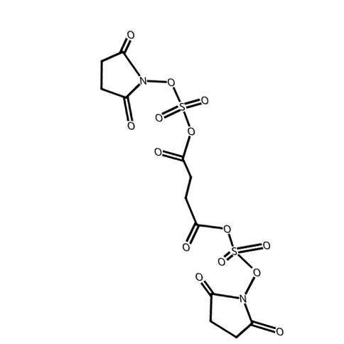 O=C(CCC(=O)OS(=O)(=O)ON1C(=O)CCC1=O)OS(=O)(=O)ON1C(=O)CCC1=O